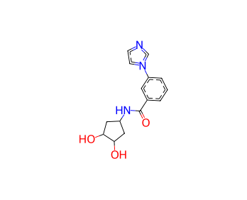 O=C(NC1CC(O)C(O)C1)c1cccc(-n2ccnc2)c1